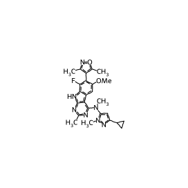 COc1cc2c([nH]c3nc(C)nc(N(C)c4cc(C5CC5)nn4C)c32)c(F)c1-c1c(C)noc1C